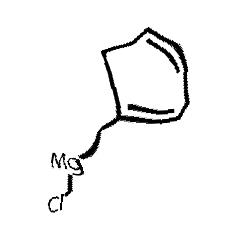 [Cl][Mg][C]1=CC=CC1